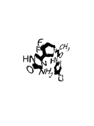 CC(C(=O)Nc1ccc(Cl)cn1)N1CCC(F)(F)C(c2c[nH]c(=O)c(N)n2)C1